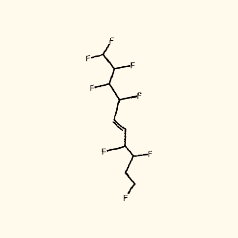 FCCC(F)C(F)C=CC(F)C(F)C(F)C(F)F